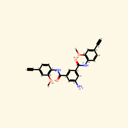 C#Cc1ccc(NC(=O)c2cc(N)cc(C(=O)Nc3ccc(C#C)cc3OC)c2)c(OC)c1